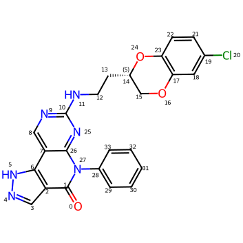 O=c1c2cn[nH]c2c2cnc(NCC[C@H]3COc4cc(Cl)ccc4O3)nc2n1-c1ccccc1